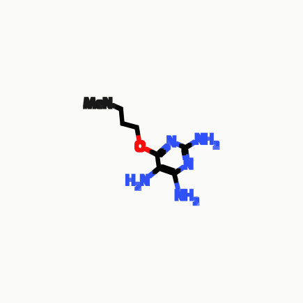 CNCCCOc1nc(N)nc(N)c1N